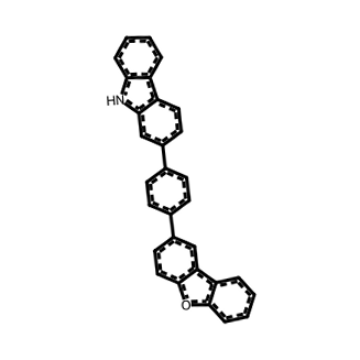 c1ccc2c(c1)[nH]c1cc(-c3ccc(-c4ccc5oc6ccccc6c5c4)cc3)ccc12